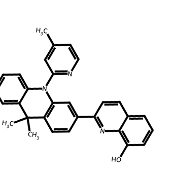 Cc1ccnc(N2c3ccccc3C(C)(C)c3ccc(-c4ccc5cccc(O)c5n4)cc32)c1